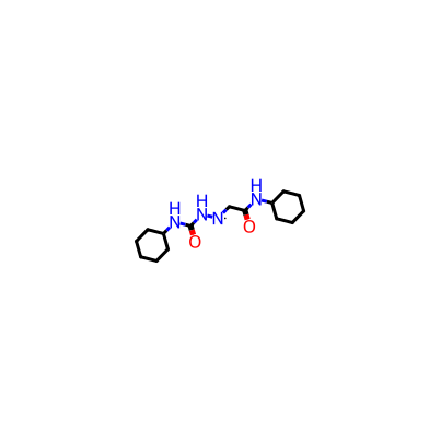 O=C(C[N]NC(=O)NC1CCCCC1)NC1CCCCC1